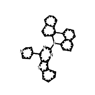 c1ccc2c3c(ccc2c1)N(c1nc(-c2ccncc2)c2sc4ccccc4c2n1)c1cccc2cccc-3c12